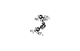 C[C@@H](NC(=O)N1CC2(CCn3nc(-c4cnc(N)c(OC(F)(F)F)c4)cc32)C1)c1ccnc(C#N)c1